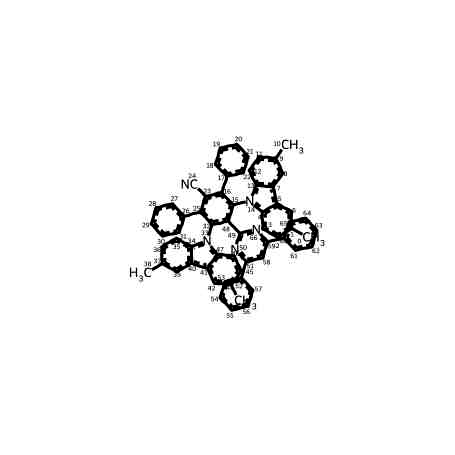 Cc1ccc2c(c1)c1cc(C)ccc1n2-c1c(-c2ccccc2)c(C#N)c(-c2ccccc2)c(-n2c3ccc(C)cc3c3cc(C)ccc32)c1-c1nc(-c2ccccc2)cc(-c2ccccc2)n1